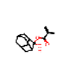 C=C(C)C(=O)OC1(O)C2CC3CC(C2)CC1C3